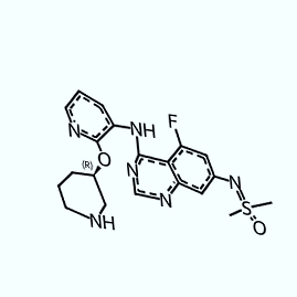 CS(C)(=O)=Nc1cc(F)c2c(Nc3cccnc3O[C@@H]3CCCNC3)ncnc2c1